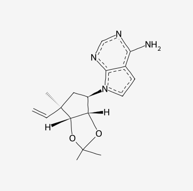 C=C[C@@]1(C)C[C@@H](n2ccc3c(N)ncnc32)[C@@H]2OC(C)(C)O[C@@H]21